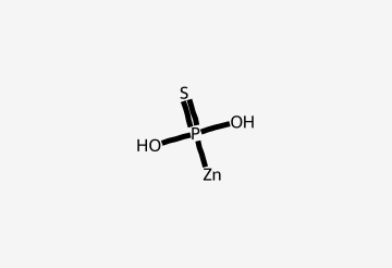 O[P](O)(=S)[Zn]